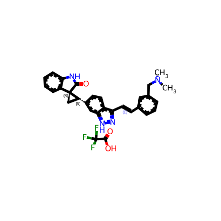 CN(C)Cc1cccc(/C=C/c2n[nH]c3cc([C@@H]4C[C@@]45C(=O)Nc4ccccc45)ccc23)c1.O=C(O)C(F)(F)F